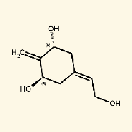 C=C1[C@H](O)CC(=CCO)C[C@H]1O